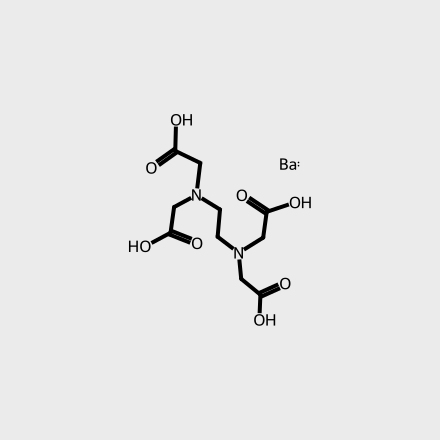 O=C(O)CN(CCN(CC(=O)O)CC(=O)O)CC(=O)O.[Ba]